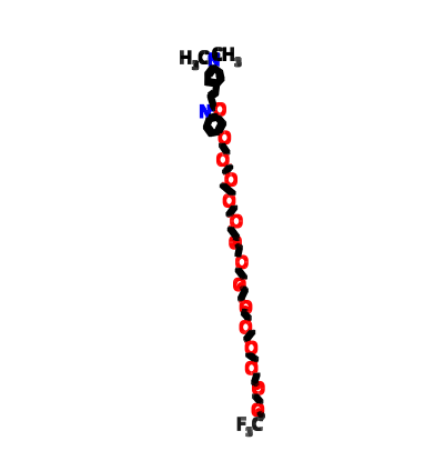 CN(C)c1ccc(C=Cc2nc3ccc(OCCOCCOCCOCCOCCOCCOCCOCCOCCOCCOCCOCCOCCOCC(F)(F)F)cc3o2)cc1